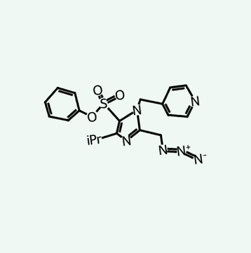 CC(C)c1nc(CN=[N+]=[N-])n(Cc2ccncc2)c1S(=O)(=O)Oc1ccccc1